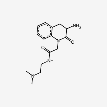 CN(C)CCNC(=O)CN1C(=O)C(N)Cc2ccccc21